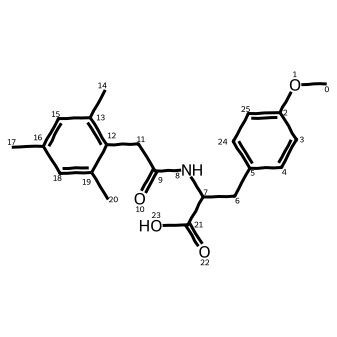 COc1ccc(CC(NC(=O)Cc2c(C)cc(C)cc2C)C(=O)O)cc1